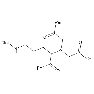 CC(C)C(=O)CN(CC(=O)C(C)(C)C)C(CCCNC(C)(C)C)C(=O)C(C)C